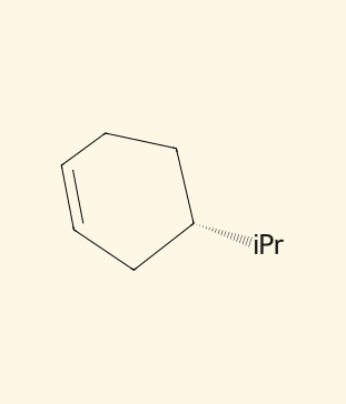 CC(C)[C@@H]1CC=CCC1